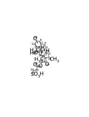 CC1C[C@H]2[C@@H]3CCC4=CC(=O)C=C[C@]4(C)[C@@]3(F)C(O)C[C@]2(C)[C@H]1C(=O)COC(=O)CCS(=O)(=O)O